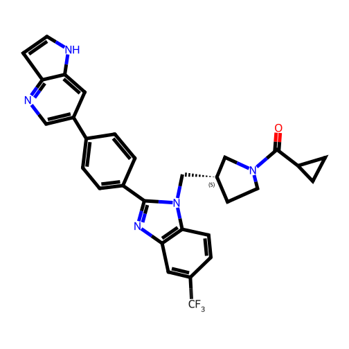 O=C(C1CC1)N1CC[C@H](Cn2c(-c3ccc(-c4cnc5cc[nH]c5c4)cc3)nc3cc(C(F)(F)F)ccc32)C1